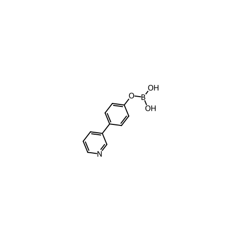 OB(O)Oc1ccc(-c2cccnc2)cc1